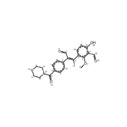 COc1c(/C(C)=C(\C=O)c2ccc(C(=O)N3CCOCC3)cc2)ccc(O)c1C=O